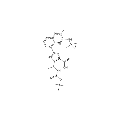 Cc1nc2cccc(-c3cc(C(=O)O)c(C(C)NC(=O)OC(C)(C)C)[nH]3)c2nc1NC1(C)CC1